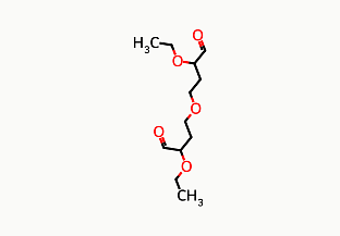 CCOC(C=O)CCOCCC(C=O)OCC